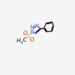 CS(=O)(=O)n1cc(-c2ccccc2)nn1